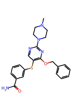 CN1CCN(c2ncc(Sc3cccc(C(N)=O)c3)c(OCc3ccccc3)n2)CC1